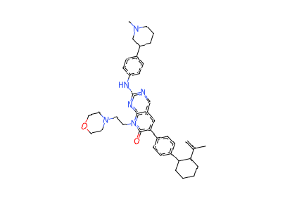 C=C(C)C1CCCCC1c1ccc(-c2cc3cnc(Nc4ccc(C5CCCN(C)C5)cc4)nc3n(CCN3CCOCC3)c2=O)cc1